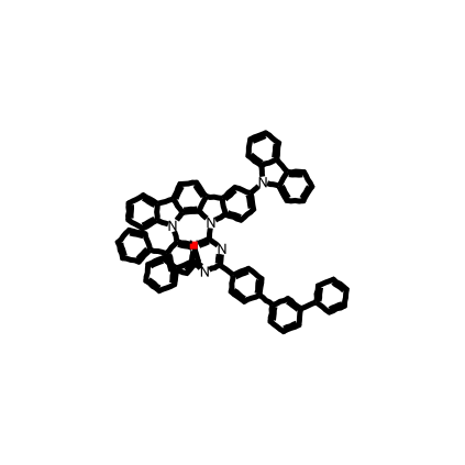 c1ccc(-c2cccc(-c3ccc(-c4nc(-c5ccccc5)nc(-n5c6ccc(-n7c8ccccc8c8ccccc87)cc6c6ccc7c8ccccc8n(-c8ccccc8-c8ccccc8)c7c65)n4)cc3)c2)cc1